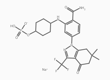 CC1(C)CC(=O)c2c(C(F)(F)F)nn(-c3ccc(C(N)=O)c(NC4CCC(OP(=O)([O-])O)CC4)c3)c2C1.[Na+]